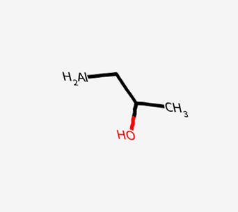 CC(O)[CH2][AlH2]